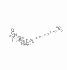 C=CCOC(=O)C(Cc1ccccc1)NC(=O)C(C)C(OC)[C@@H]1CCCN1C(=O)CC(OC)C(C(C)CC)N(C)C(=O)C(NC(=O)C(C)(C)N(C)C(=O)CCOCCOCCOCCOCCOCCOCCN1C(=O)C=CC1=O)C(C)C